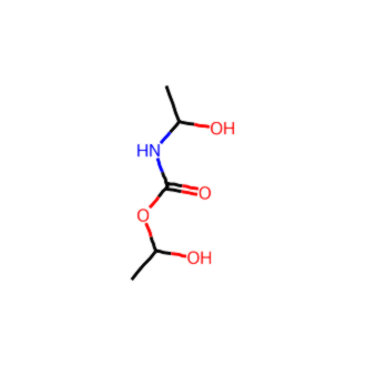 CC(O)NC(=O)OC(C)O